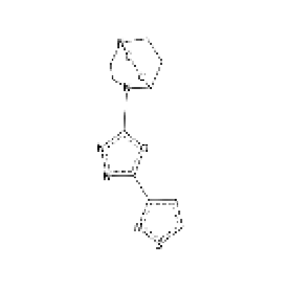 c1cc(-c2nnc(N3CCN4CCC3CC4)o2)ns1